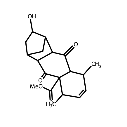 COC(=O)C12C(=O)C3C4CC(O)C(C4)C3C(=O)C1C(C)C=CC2C